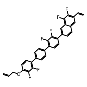 C=CCOc1ccc(-c2ccc(-c3ccc(-c4ccc5cc(C=C)c(F)c(F)c5c4)c(F)c3F)cc2)c(F)c1F